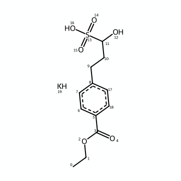 CCOC(=O)c1ccc(CCC(O)S(=O)(=O)O)cc1.[KH]